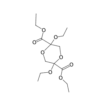 CCOC(=O)C1(OCC)COC(OCC)(C(=O)OCC)CO1